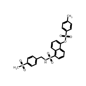 Cc1ccc(S(=O)(=O)Oc2cccc3c(S(=O)(=O)NCc4ccc(S(C)(=O)=O)cc4)cccc23)cc1